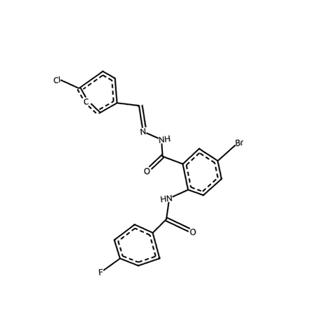 O=C(Nc1ccc(Br)cc1C(=O)N/N=C/c1ccc(Cl)cc1)c1ccc(F)cc1